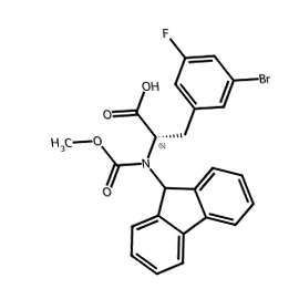 COC(=O)N(C1c2ccccc2-c2ccccc21)[C@@H](Cc1cc(F)cc(Br)c1)C(=O)O